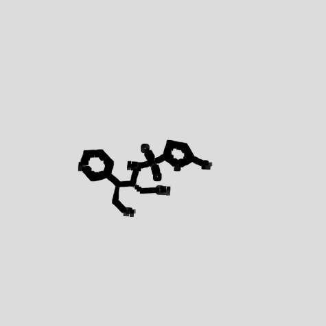 CC(C)C[C@@H](c1cccnc1)[C@@H](CO)NS(=O)(=O)c1ccc(Br)s1